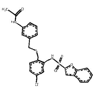 CC(=O)Nc1cccc(CSc2ccc(Cl)cc2NS(=O)(=O)c2cc3ccccc3o2)c1